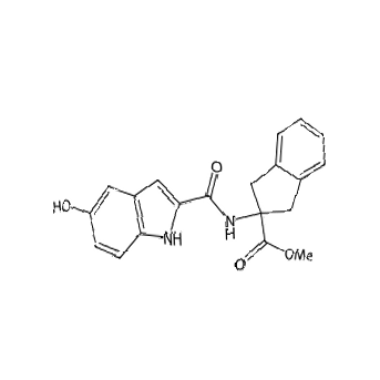 COC(=O)C1(NC(=O)c2cc3cc(O)ccc3[nH]2)Cc2ccccc2C1